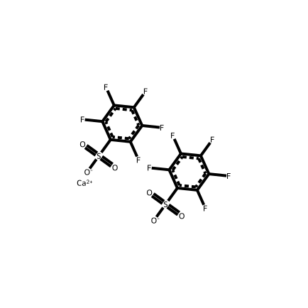 O=S(=O)([O-])c1c(F)c(F)c(F)c(F)c1F.O=S(=O)([O-])c1c(F)c(F)c(F)c(F)c1F.[Ca+2]